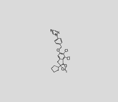 CC1(C2CCCC2)Cc2cc(OCc3ccc(-n4cncn4)cc3)c(Cl)c(Cl)c2C1=O